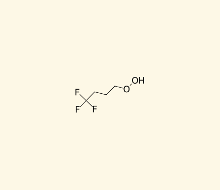 OOCCCC(F)(F)F